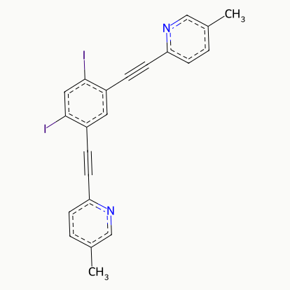 Cc1ccc(C#Cc2cc(C#Cc3ccc(C)cn3)c(I)cc2I)nc1